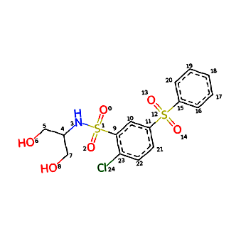 O=S(=O)(NC(CO)CO)c1cc(S(=O)(=O)c2ccccc2)ccc1Cl